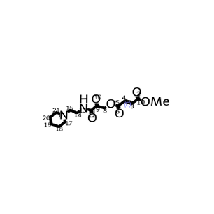 COC(=O)/C=C/C(=O)OCC(=O)C(=O)NCCN1CCCCC1